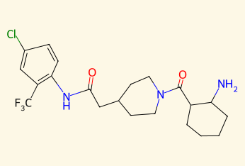 NC1CCCCC1C(=O)N1CCC(CC(=O)Nc2ccc(Cl)cc2C(F)(F)F)CC1